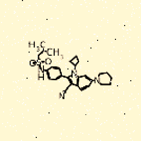 CC(C)CS(=O)(=O)Nc1ccc(-c2c(C#N)c3ccc(N4CCCCC4)cc3n2C2CCC2)cc1